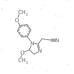 COc1ccc(N2C(CC#N)=NCC2OC)cc1